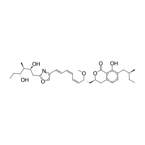 CC[C@H](C)Cc1ccc2c(c1O)C(=O)O[C@H](C[C@H](\C=C/C=C\C=C\c1coc(C[C@H](O)[C@H](C)[C@H](O)CC)n1)OC)C2